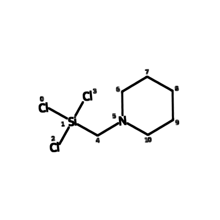 Cl[Si](Cl)(Cl)CN1CCCCC1